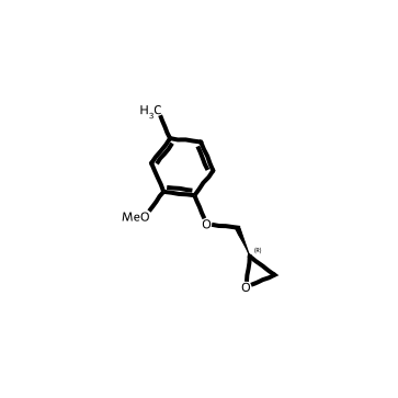 COc1cc(C)ccc1OC[C@H]1CO1